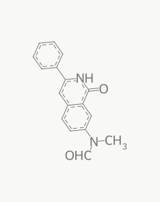 CN(C=O)c1ccc2cc(-c3ccccc3)[nH]c(=O)c2c1